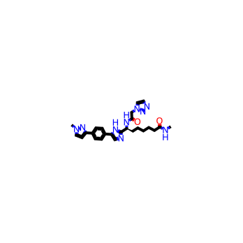 CNC(=O)CCCCC[C@H](NC(=O)Cn1ccnn1)c1ncc(-c2ccc(-c3ccn(C)n3)cc2)[nH]1